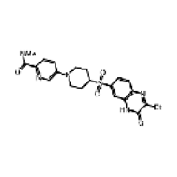 CCc1nc2ccc(S(=O)(=O)C3CCN(c4ccc(C(=O)NC)nc4)CC3)cc2[nH]c1=O